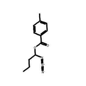 CCCC(N=[N+]=[N-])OC(=O)c1ccc(C)cc1